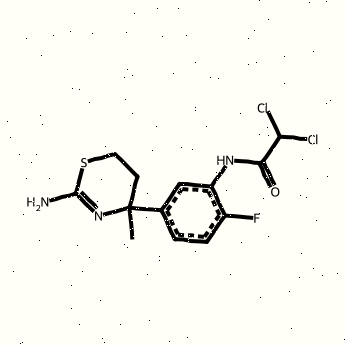 CC1(c2ccc(F)c(NC(=O)C(Cl)Cl)c2)CCSC(N)=N1